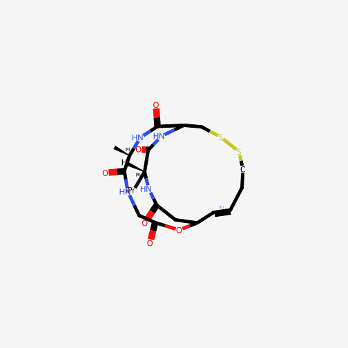 CC(C)[C@H]1NC(=O)CC2/C=C/CCSSCC(NC1=O)C(=O)N[C@H](C)C(=O)NCC(=O)O2